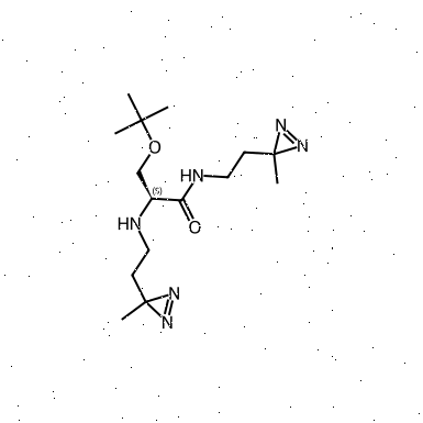 CC1(CCNC(=O)[C@H](COC(C)(C)C)NCCC2(C)N=N2)N=N1